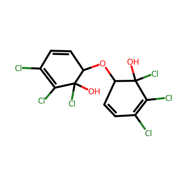 OC1(Cl)C(Cl)=C(Cl)C=CC1OC1C=CC(Cl)=C(Cl)C1(O)Cl